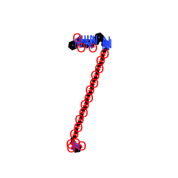 O=C(CCOCCOCCOCCOCCOCCOCCOCCOCCOCCOCCOCCOCCn1cc(-c2cccc3[nH]c(C(=O)N4CCC5(CC4)NC(=O)N(c4ccccc4)C5=O)cc23)nn1)ON1C(=O)CCC1=O